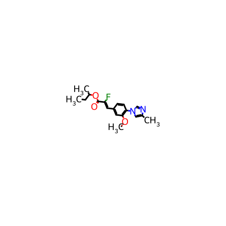 CCC(C)OC(=O)C(F)=Cc1ccc(-n2cnc(C)c2)c(OC)c1